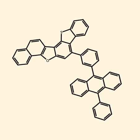 c1ccc(-c2c3ccccc3c(-c3cccc(-c4cc5oc6c7ccccc7ccc6c5c5sc6ccccc6c45)c3)c3ccccc23)cc1